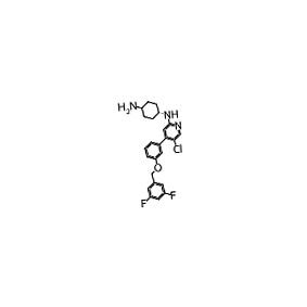 N[C@H]1CC[C@H](Nc2cc(-c3cccc(OCc4cc(F)cc(F)c4)c3)c(Cl)cn2)CC1